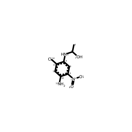 CC(O)Nc1cc([N+](=O)[O-])c(N)cc1Cl